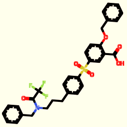 O=C(O)c1cc(S(=O)(=O)c2ccc(CCCN(Cc3ccccc3)C(=O)C(F)(F)F)cc2)ccc1OCc1ccccc1